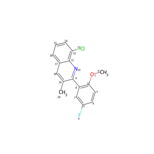 COc1ccc(F)cc1-c1nc2c(Cl)cccc2cc1C